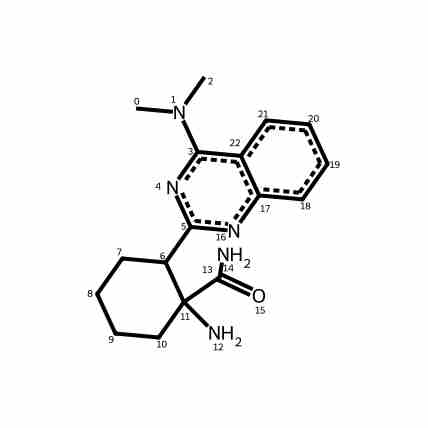 CN(C)c1nc(C2CCCCC2(N)C(N)=O)nc2ccccc12